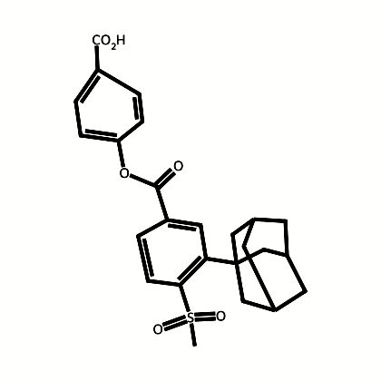 CS(=O)(=O)c1ccc(C(=O)Oc2ccc(C(=O)O)cc2)cc1C12CC3CC(CC(C3)C1)C2